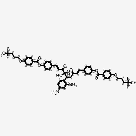 Nc1ccc(C(CC(=O)C=Cc2ccc(OC(=O)c3ccc(OCCCC(F)(F)C(F)(F)F)cc3)cc2)C(O)(O)C(=O)C=Cc2ccc(OC(=O)c3ccc(OCCCC(F)(F)C(F)(F)F)cc3)cc2)c(N)c1